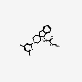 Cc1cc(I)cc(N2CCC3(CC2)Cc2ccccc2[C@H]3NC(=O)OC(C)(C)C)n1